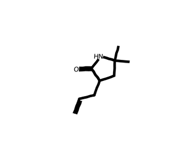 C=CCC1CC(C)(C)NC1=O